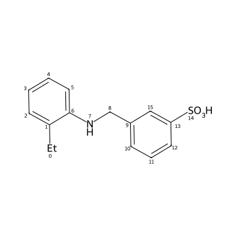 CCc1ccccc1NCc1cccc(S(=O)(=O)O)c1